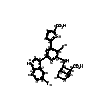 O=C(O)c1ccc(-c2nc(-c3c[nH]c4ncc(F)cc34)nc(NC3C4CCC(CC4)C3C(=O)O)c2F)s1